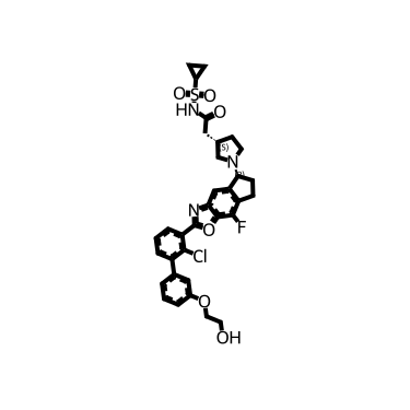 O=C(C[C@@H]1CCN([C@@H]2CCc3c2cc2nc(-c4cccc(-c5cccc(OCCO)c5)c4Cl)oc2c3F)C1)NS(=O)(=O)C1CC1